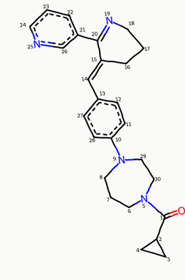 O=C(C1CC1)N1CCCN(c2ccc(C=C3CCCN=C3c3cccnc3)cc2)CC1